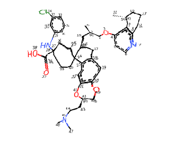 C[C@@H](COc1ccnc2c1[C@H](C)CCC2)C[C@H]1Cc2cc3c(cc2C12CCC(Nc1cccc(Cl)c1)(C(=O)O)CC2)O[C@H](CCN(C)C)CO3